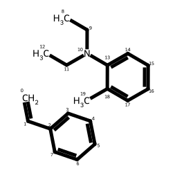 C=Cc1ccccc1.CCN(CC)c1ccccc1C